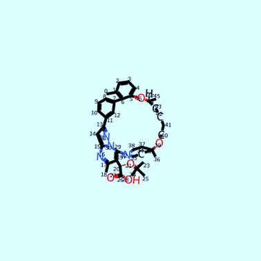 Cc1cccc2c1-c1cccc(c1)-c1cc3nc(C)c([C@H](OC(C)(C)C)C(=O)O)c(n3n1)N1CCC(C)(CC1)OCCCC[C@H](C)O2